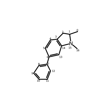 CC1Cc2ccc(-c3ccccc3)cc2N1C